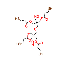 O=C(CCS)OCC(CO)(COCC(CO)(COC(=O)CCS)COC(=O)CCS)COC(=O)CCS